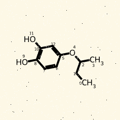 CCC(C)Oc1ccc(O)c(O)c1